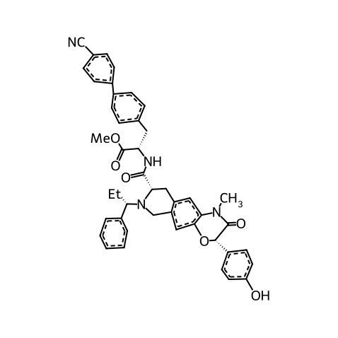 CC[C@@H](c1ccccc1)N1Cc2cc3c(cc2C[C@H]1C(=O)N[C@@H](Cc1ccc(-c2ccc(C#N)cc2)cc1)C(=O)OC)N(C)C(=O)[C@H](c1ccc(O)cc1)O3